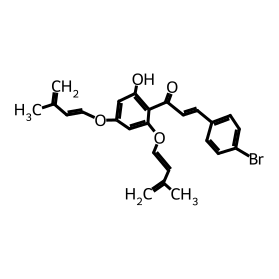 C=C(C)C=COc1cc(O)c(C(=O)C=Cc2ccc(Br)cc2)c(OC=CC(=C)C)c1